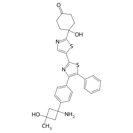 CC1(O)CC(N)(c2ccc(-c3nc(-c4cnc(C5(O)CCC(=O)CC5)s4)sc3-c3ccccc3)cc2)C1